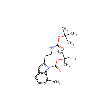 Cc1cccc2cc(CCNC(=O)OC(C)(C)C)n(C(=O)OC(C)(C)C)c12